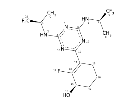 C[C@@H](Nc1nc(N[C@H](C)C(F)(F)F)nc(C2=C(F)[C@H](O)CCC2)n1)C(F)(F)F